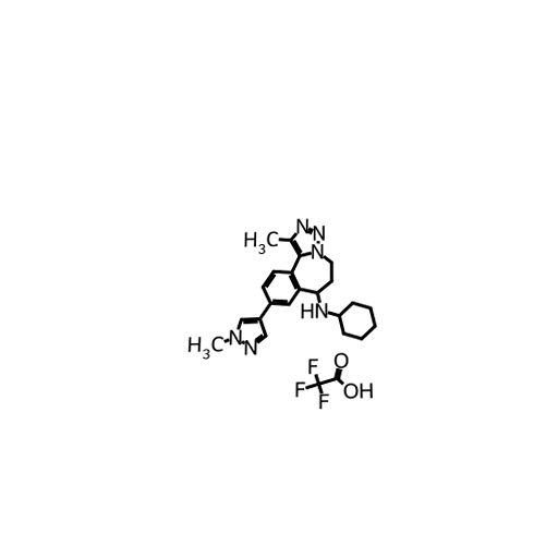 Cc1nnn2c1-c1ccc(-c3cnn(C)c3)cc1C(NC1CCCCC1)CC2.O=C(O)C(F)(F)F